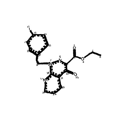 CCOC(=O)c1nn(Cc2ccc(I)cc2)c2ncccc2c1=O